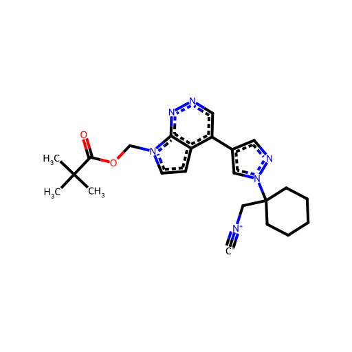 [C-]#[N+]CC1(n2cc(-c3cnnc4c3ccn4COC(=O)C(C)(C)C)cn2)CCCCC1